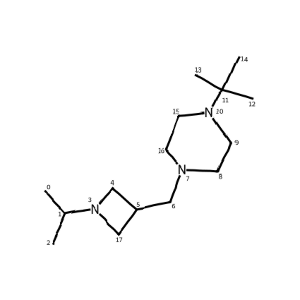 CC(C)N1CC(CN2CCN(C(C)(C)C)CC2)C1